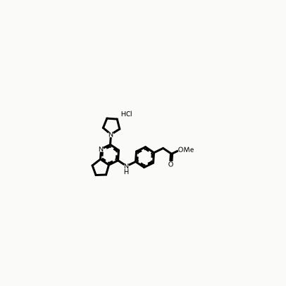 COC(=O)Cc1ccc(Nc2cc(N3CCCC3)nc3c2CCC3)cc1.Cl